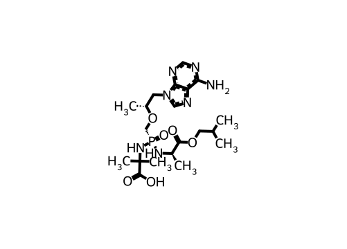 CC(C)COC(=O)[C@@H](C)N[P@@](=O)(CO[C@H](C)Cn1cnc2c(N)ncnc21)NC(C)(C)C(=O)O